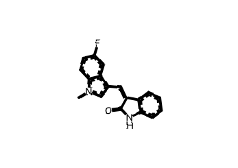 Cn1cc(C=C2C(=O)Nc3ccccc32)c2cc(F)ccc21